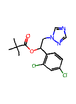 CC(C)(C)C(=O)OC(Cn1cncn1)c1ccc(Cl)cc1Cl